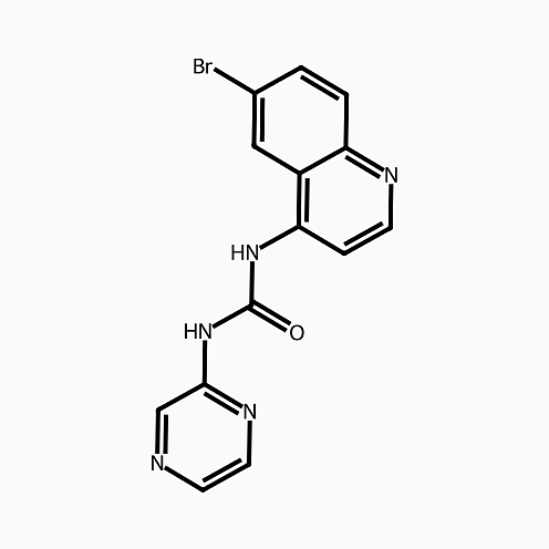 O=C(Nc1cnccn1)Nc1ccnc2ccc(Br)cc12